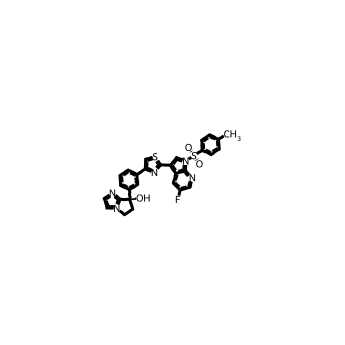 Cc1ccc(S(=O)(=O)n2cc(-c3nc(-c4cccc([C@]5(O)CCn6ccnc65)c4)cs3)c3cc(F)cnc32)cc1